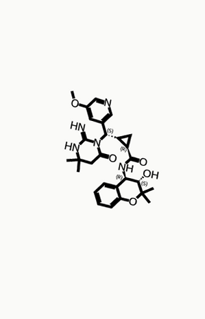 COc1cncc([C@H](C2C[C@H]2C(=O)N[C@@H]2c3ccccc3OC(C)(C)[C@H]2O)N2C(=N)NC(C)(C)CC2=O)c1